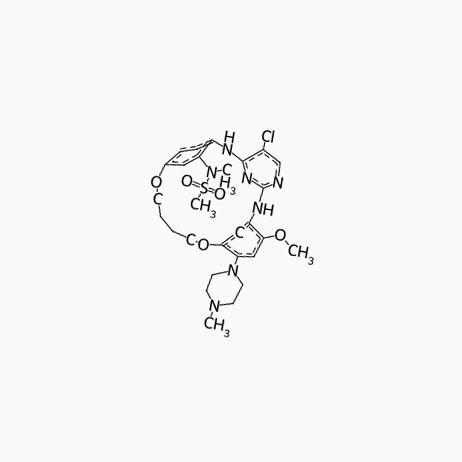 COc1cc(N2CCN(C)CC2)c2cc1Nc1ncc(Cl)c(n1)Nc1ccc(cc1N(C)S(C)(=O)=O)OCCCCO2